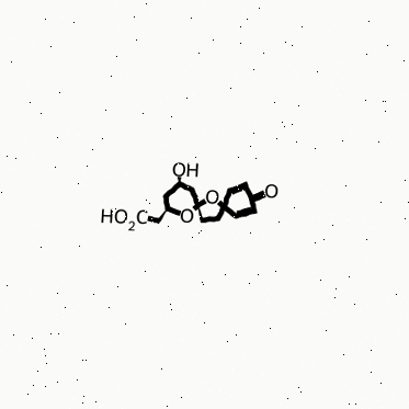 O=C1C=CC2(C=C1)CC[C@@]1(C[C@H](O)C[C@H](CC(=O)O)O1)O2